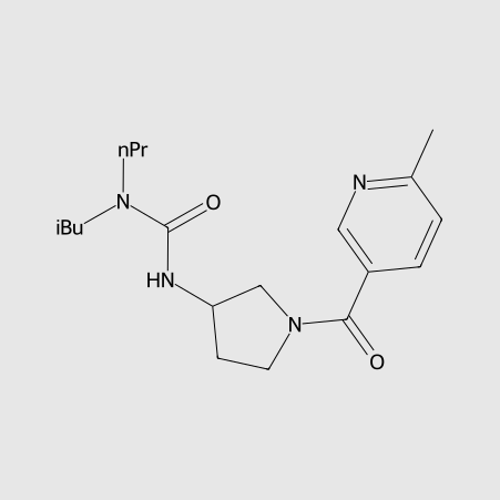 CCCN(C(=O)NC1CCN(C(=O)c2ccc(C)nc2)C1)C(C)CC